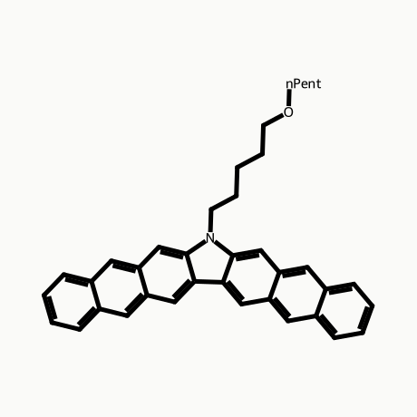 CCCCCOCCCCCn1c2cc3cc4ccccc4cc3cc2c2cc3cc4ccccc4cc3cc21